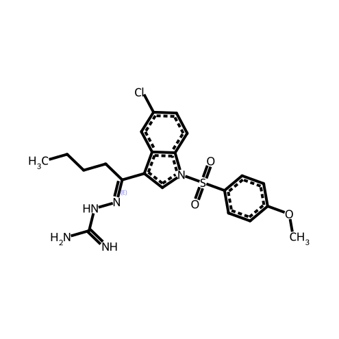 CCCC/C(=N\NC(=N)N)c1cn(S(=O)(=O)c2ccc(OC)cc2)c2ccc(Cl)cc12